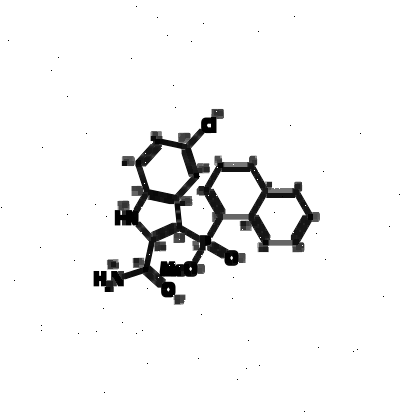 COP(=O)(c1cccc2ccccc12)c1c(C(N)=O)[nH]c2ccc(Cl)cc12